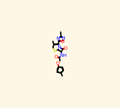 CC1=C(c2nc(C)no2)N2C(=O)C(NC(=O)COc3ccc(C)cc3)C2SC1